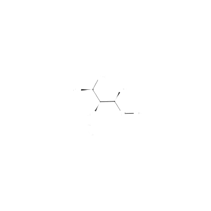 O=C[C@@H](O)[C@H](O)[C@@H](O)[CH-]O.[Ba+2].[OH-]